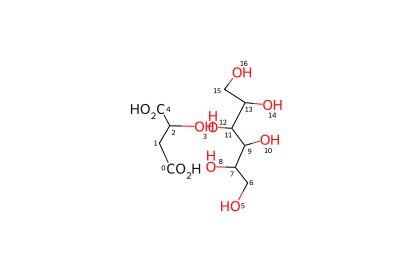 O=C(O)CC(O)C(=O)O.OCC(O)C(O)C(O)C(O)CO